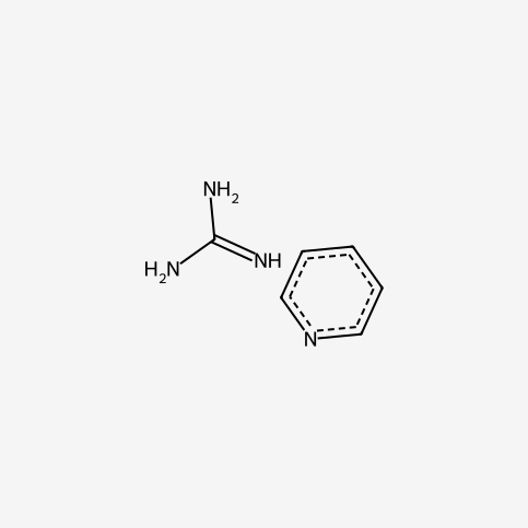 N=C(N)N.c1ccncc1